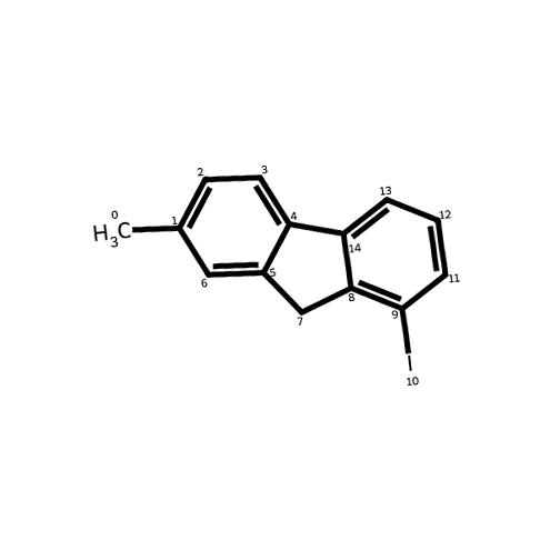 Cc1ccc2c(c1)Cc1c(I)cccc1-2